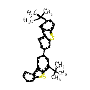 CC(C)(C)c1ccc2sc3cc(-c4cc(C(C)(C)C)c5sc6ccccc6c5c4)ccc3c2c1